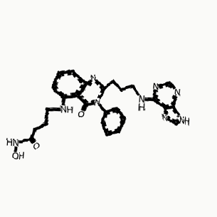 O=C(CCCNc1cccc2nc(CCCNc3ncnc4[nH]cnc34)n(-c3ccccc3)c(=O)c12)NO